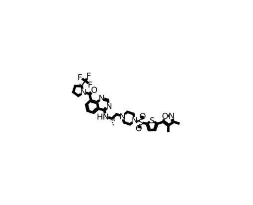 Cc1noc(-c2ccc(S(=O)(=O)N3CCN(C[C@H](C)Nc4ncnc5c(C(=O)N6CCC[C@H]6C(F)(F)F)cccc45)CC3)s2)c1C